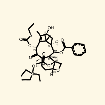 CCSC(=O)O[C@H]1C(=O)[C@]2(C)[C@@H](O[Si](CC)(CC)CC)C[C@H]3OC[C@@]3(OC(C)=O)[C@H]2[C@H](OC(=O)c2ccccc2)[C@]2(O)C[C@H](O)C(C)=C1C2(C)C